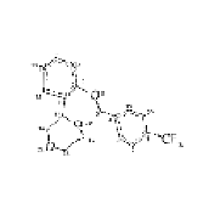 FC(F)(F)c1ccc(COc2ncncc2C2COCCO2)cc1